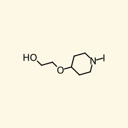 OCCOC1CCN(I)CC1